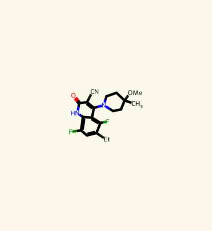 CCc1cc(F)c2[nH]c(=O)c(C#N)c(N3CCC(C)(OC)CC3)c2c1F